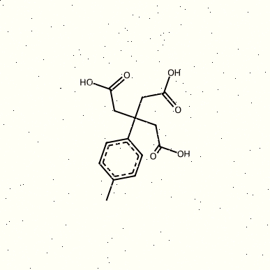 Cc1ccc(C(CC(=O)O)(CC(=O)O)CC(=O)O)cc1